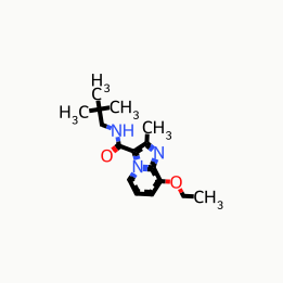 CCOc1cccn2c(C(=O)NCC(C)(C)C)c(C)nc12